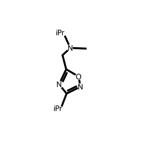 CC(C)c1noc(CN(C)C(C)C)n1